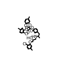 Cc1ccc(Cl)c(OCC(O)CNC(C)Cc2ccc3c(c2)OC(C(=O)Oc2cc(C)ccc2Cl)(C(=O)Oc2cc(C)ccc2Cl)O3)c1